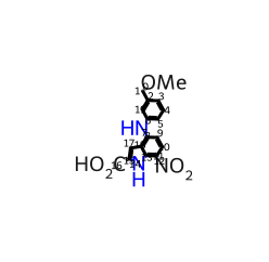 COCc1cccc(Nc2ccc([N+](=O)[O-])c3[nH]c(C(=O)O)cc23)c1